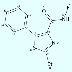 CCc1nc(C(=O)NF)c(-c2ccccc2)s1